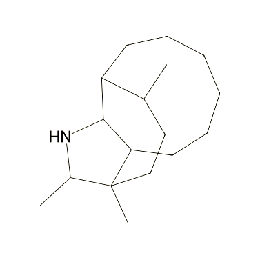 CC1CCC2(C)C(C)NC3C1CCCCCCC32